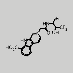 CC(C)C(NC(=O)CN1C=Cc2c([nH]c3c(C(=O)O)cccc23)C1)C(O)C(F)(F)F